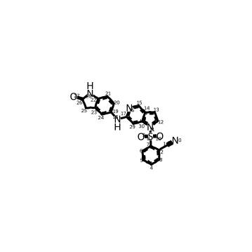 N#Cc1ccccc1S(=O)(=O)n1ccc2cnc(Nc3ccc4c(c3)CC(=O)N4)cc21